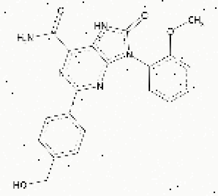 COc1ccccc1-n1c(=O)[nH]c2c(C(N)=O)nc(-c3ccc(CO)cc3)nc21